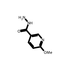 COc1ccc(C(=O)NN)cn1